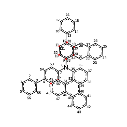 c1ccc(-c2ccc(N(c3ccc(-c4ccccc4)c4c3C3c5ccccc5C4c4ccccc43)c3cccc4c5ccccc5c5ccccc5c34)cc2)cc1